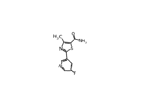 Cc1nc(-c2cncc(F)c2)sc1C(N)=O